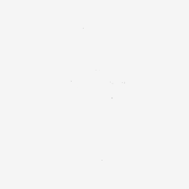 CCCCCCCCCCCCCCCCCC(=O)NS(=O)(=O)c1ccc(N)cc1.O=C([O-])CCC(=O)[O-].[Na+].[Na+]